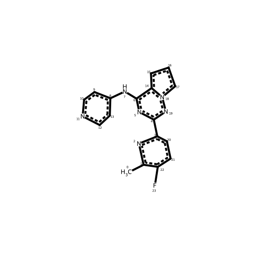 Cc1nc(-c2nc(Nc3ccncc3)c3cccn3n2)ccc1F